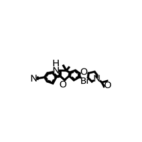 CC1(C)c2cc(OC3CCN(C4COC4)CC3)c(Br)cc2C(=O)c2c1[nH]c1cc(C#N)ccc21